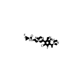 CC(c1c(F)c(Cl)c(-c2cn3cc(NC(=O)[C@@H]4C[C@@H]4F)nc3cn2)c2cn[nH]c12)n1ccnc1